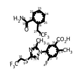 Cc1cc(F)c(-n2nc(SCC(F)(F)F)nc2C)cc1C(=O)O.NC(=O)c1ccccc1CC(F)(F)F